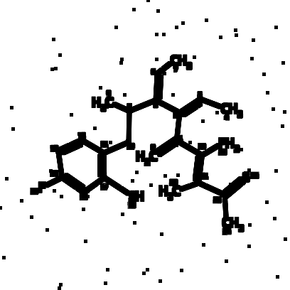 C=C(C(=C\C)/C(=C\C)C(C)Cc1ccc(F)cc1S)/C(P)=C(\C)C(C)=S